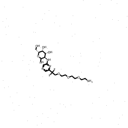 CCCC1O[C@H](CO)[C@H](O)[C@H](O)[C@H]1Nc1cncc(C(F)(F)COCCOCCOCCN)n1